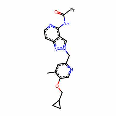 Cc1cc(Cn2cc3c(NC(=O)C(C)C)nccc3n2)ncc1OCC1CC1